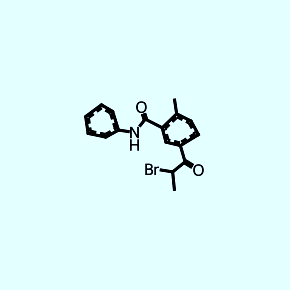 Cc1ccc(C(=O)C(C)Br)cc1C(=O)Nc1ccccc1